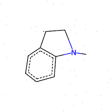 CN1C[CH]c2ccccc21